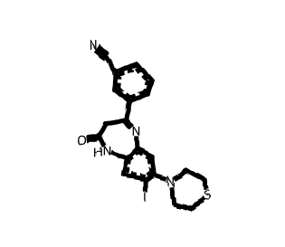 N#Cc1cccc(C2=Nc3cc(N4CCSCC4)c(I)cc3NC(=O)C2)c1